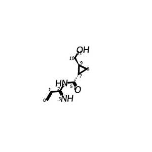 C=CC(=N)NC(=O)[C@H]1C[C@@H]1CO